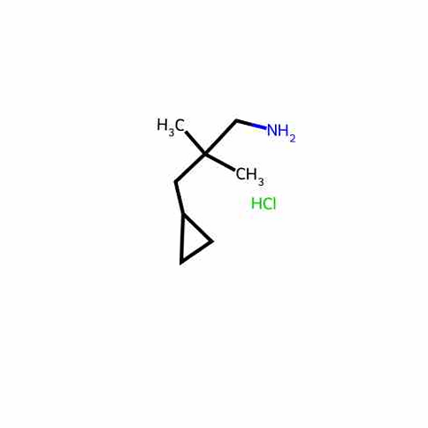 CC(C)(CN)CC1CC1.Cl